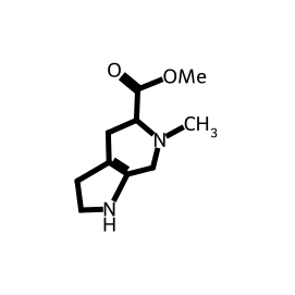 COC(=O)C1CC2=C(CN1C)NCC2